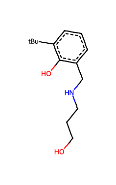 CC(C)(C)c1cccc(CNCCCO)c1O